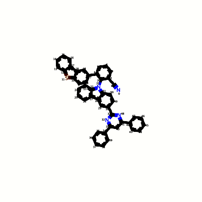 N#Cc1cccc(-c2ccc3sc4ccccc4c3c2)c1-n1c2ccccc2c2cc(-c3nc(-c4ccccc4)cc(-c4ccccc4)n3)ccc21